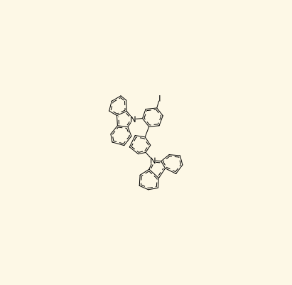 Ic1ccc(-c2cccc(-n3c4ccccc4c4ccccc43)c2)c(-n2c3ccccc3c3ccccc32)c1